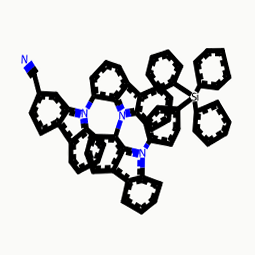 N#Cc1ccc2c3ccccc3n(-c3cccc4c5ccccc5n(-c5cccc6c7ccccc7n(-c7ccc([Si](c8ccccc8)(c8ccccc8)c8ccccc8)cc7)c56)c34)c2c1